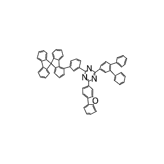 c1ccc(-c2ccc(-c3nc(-c4cccc(-c5cccc6c5-c5ccccc5C65c6ccccc6-c6ccccc65)c4)nc(-c4ccc5c(c4)oc4ccccc45)n3)cc2-c2ccccc2)cc1